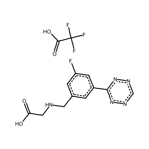 O=C(O)C(F)(F)F.O=C(O)CNCc1cc(F)cc(-c2nncnn2)c1